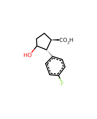 O=C(O)[C@@H]1CCC(O)[C@H]1c1ccc(F)cc1